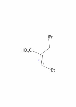 CC/C=C(\CC(C)C)C(=O)O